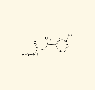 CCCCc1cccc(C(C)CC(=O)NOC)c1